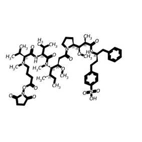 CC[C@H](C)[C@@H]([C@@H](CC(=O)N1CCC[C@H]1[C@H](OC)[C@@H](C)C(=O)N[C@H](CCc1ccc(S(=O)(=O)O)cc1)Cc1ccccc1)OC)N(C)C(=O)[C@@H](NC(=O)[C@H](C(C)C)N(C)CCCC(=O)ON1C(=O)CCC1=O)C(C)C